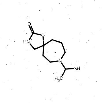 CC(S)N1CCCC2(CC1)CNC(=O)O2